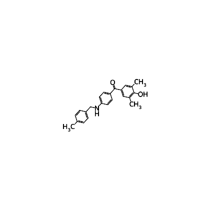 Cc1ccc(CNc2ccc(C(=O)c3cc(C)c(O)c(C)c3)cc2)cc1